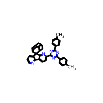 Cc1ccc(-c2nc(-c3ccc(C)cc3)nc(-c3ccc4c(n3)C3(c5cccnc5-4)C4CC5CC(C4)CC3C5)n2)cc1